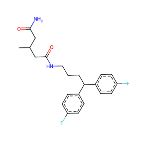 CC(CC(N)=O)CC(=O)NCCCC(c1ccc(F)cc1)c1ccc(F)cc1